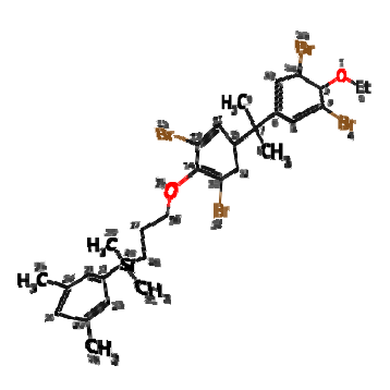 CCOC1C(Br)=CC(C(C)(C)C2C=C(Br)C(OCCC[Si](C)(C)c3cc(C)cc(C)c3)=C(Br)C2)=CC1Br